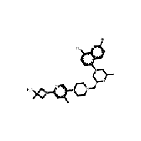 [2H]c1ccc2c(N3C[C@H](CN4CCN(c5cnc(N6CC(C)(N)C6)cc5C)CC4)O[C@H](C)C3)ccc(C#N)c2n1